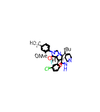 COc1cc(C(=O)O)ccc1N1CN2[C@@H](CC(C)(C)C)[C@@]3(C(=O)NC4N=CC=CC43)[C@@H](c3cccc(Cl)c3F)[C@@H]2C1=O